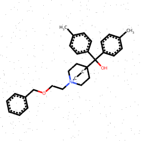 Cc1ccc(C(O)(c2ccc(C)cc2)C23CC[N+](CCOCc4ccccc4)(CC2)CC3)cc1